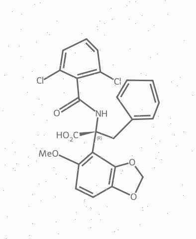 COc1ccc2c(c1[C@@](Cc1ccccc1)(NC(=O)c1c(Cl)cccc1Cl)C(=O)O)OCO2